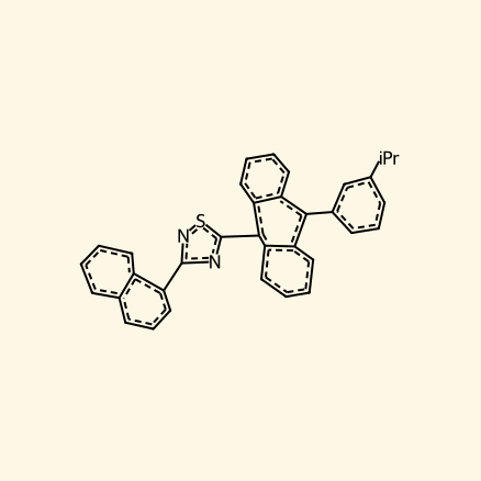 CC(C)c1cccc(-c2c3ccccc3c(-c3nc(-c4cccc5ccccc45)ns3)c3ccccc23)c1